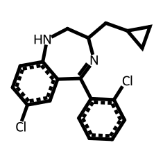 Clc1ccc2c(c1)C(c1ccccc1Cl)=NC(CC1CC1)CN2